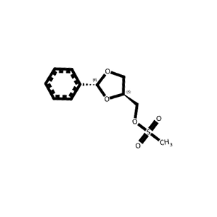 CS(=O)(=O)OC[C@@H]1CO[C@@H](c2ccccc2)O1